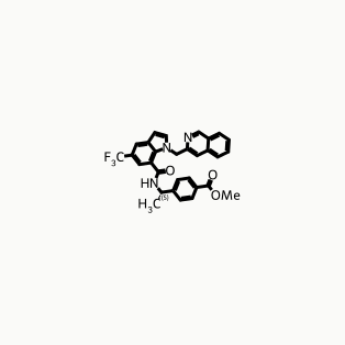 COC(=O)c1ccc([C@H](C)NC(=O)c2cc(C(F)(F)F)cc3ccn(Cc4cc5ccccc5cn4)c23)cc1